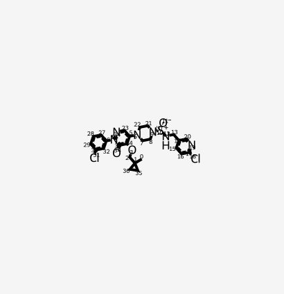 CC1(COc2c(N3CCN([S@+]([O-])NCc4ccc(Cl)nc4)CC3)cnn(-c3cccc(Cl)c3)c2=O)CC1